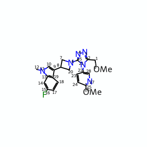 COCc1nnc(N2CC(c3cn(C)c4cc(F)ccc34)C2)n1-c1ccc(OC)nc1